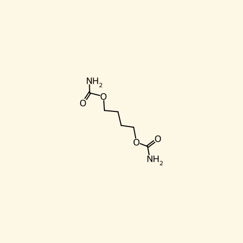 NC(=O)OCCCCOC(N)=O